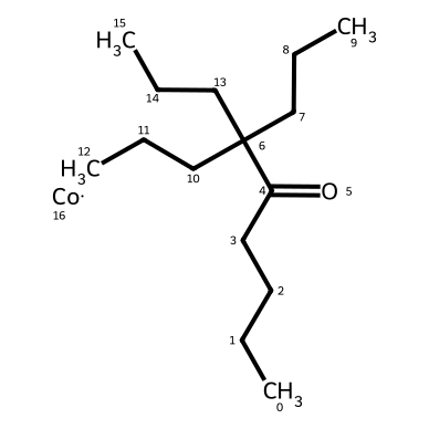 CCCCC(=O)C(CCC)(CCC)CCC.[Co]